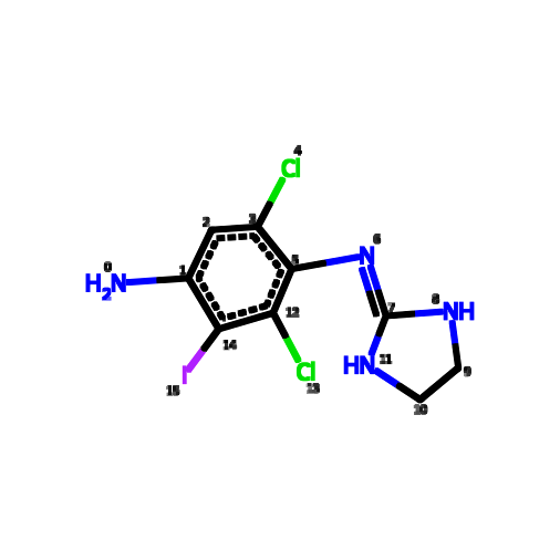 Nc1cc(Cl)c(N=C2NCCN2)c(Cl)c1I